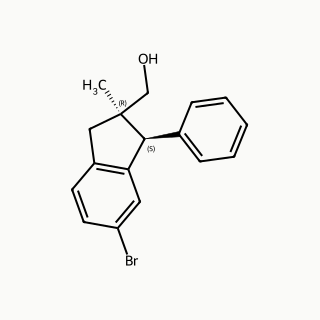 C[C@@]1(CO)Cc2ccc(Br)cc2[C@@H]1c1ccccc1